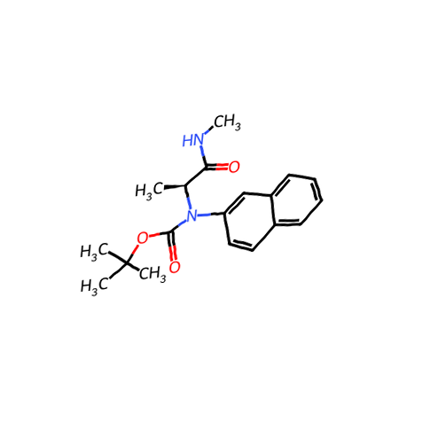 CNC(=O)[C@H](C)N(C(=O)OC(C)(C)C)c1ccc2ccccc2c1